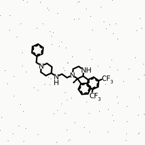 CC1(c2ccccc2)C(c2cc(C(F)(F)F)cc(C(F)(F)F)c2)NCCN1CCNC1CCN(Cc2ccccc2)CC1